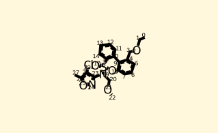 CCOCc1ccccc1-c1ccccc1S(=O)(=O)N(COC)c1noc(C)c1Cl